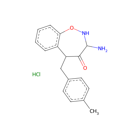 Cc1ccc(CC2C(=O)C(N)NOc3ccccc32)cc1.Cl